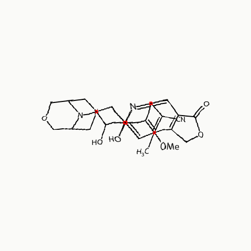 COc1cc(C(O)CN2C3COCC2CN(CC(O)c2ccc4c(c2C)COC4=O)C3)ncc1C#N